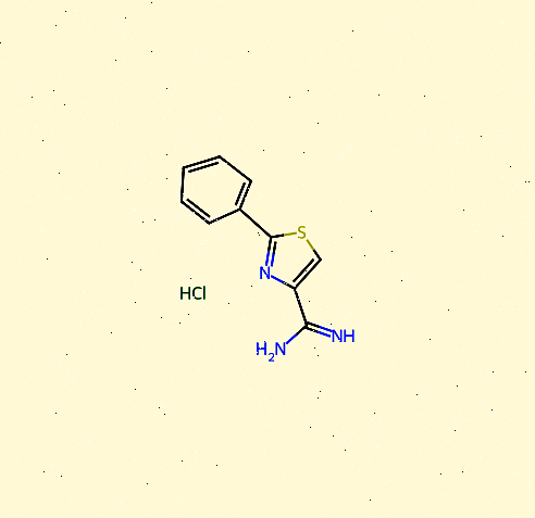 Cl.N=C(N)c1csc(-c2ccccc2)n1